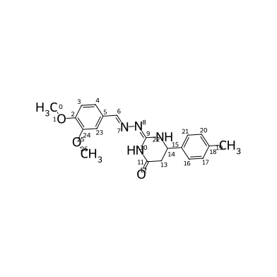 COc1ccc(C=NN=C2NC(=O)CC(c3ccc(C)cc3)N2)cc1OC